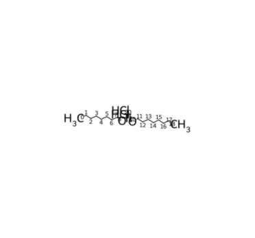 CCCCCCCC[O][Ti][O]CCCCCCCC.Cl.Cl